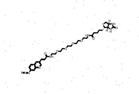 [N-]=[N+]=Nc1ccc2cc(/C=C/C(=O)NCCOCCOCCOCCOCCNC(=O)CCCC[C@@H]3SC[C@@H]4NC(=O)N[C@@H]43)cnc2c1